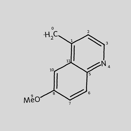 [CH2]c1ccnc2ccc(OC)cc12